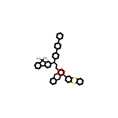 CC1(C)c2ccccc2-c2ccc(C(CCc3ccc(-c4ccc5c(c4)Sc4ccccc4S5)c4c3C3c5ccccc5C4c4ccccc43)c3ccc(-c4ccc(-c5ccccc5)cc4)cc3)cc21